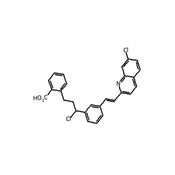 O=C(O)c1ccccc1CCC(Cl)c1cccc(C=Cc2ccc3ccc(Cl)cc3n2)c1